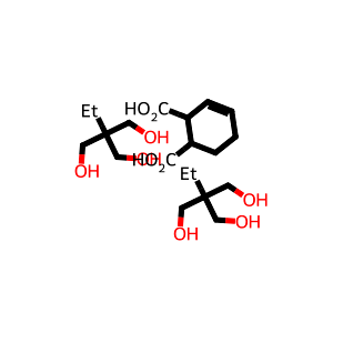 CCC(CO)(CO)CO.CCC(CO)(CO)CO.O=C(O)C1C=CCCC1C(=O)O